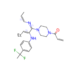 C=CC(=O)N1CCN(C(=N/C=C\C)/C(=C/CC)Nc2ccc(C(C)(F)F)cc2)CC1